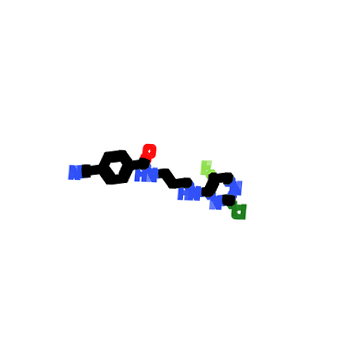 N#Cc1ccc(C(=O)NCCCNc2nc(Cl)ncc2F)cc1